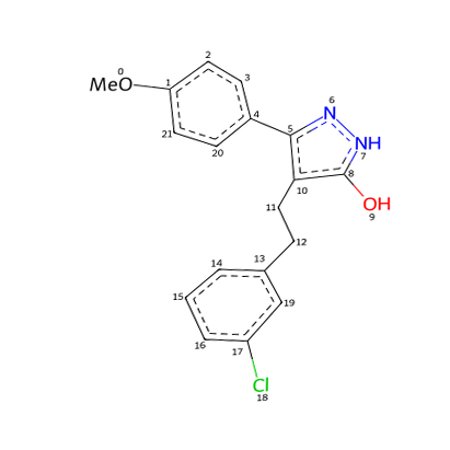 COc1ccc(-c2n[nH]c(O)c2CCc2cccc(Cl)c2)cc1